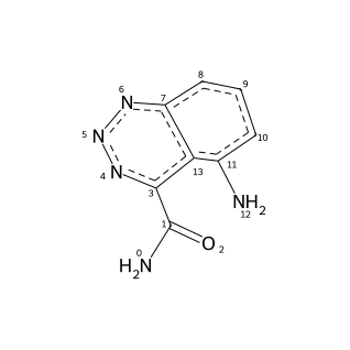 NC(=O)c1nnnc2cccc(N)c12